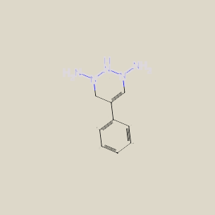 NN1C=C(c2ccccc2)CN(N)N1